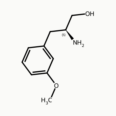 COc1cccc(C[C@H](N)CO)c1